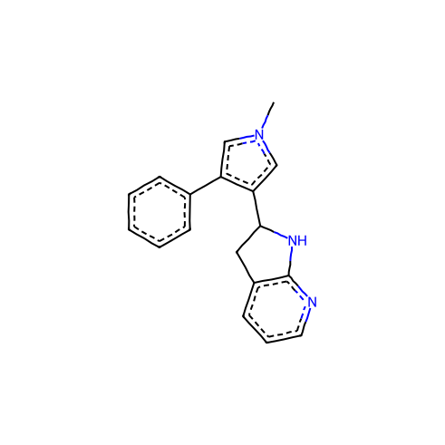 Cn1cc(-c2ccccc2)c(C2Cc3cccnc3N2)c1